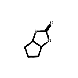 O=C1OC2CCCC2S1